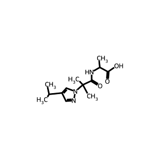 CC(NC(=O)C(C)(C)n1cc(C(C)C)cn1)C(=O)O